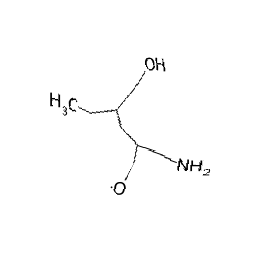 CC(O)C(N)[O]